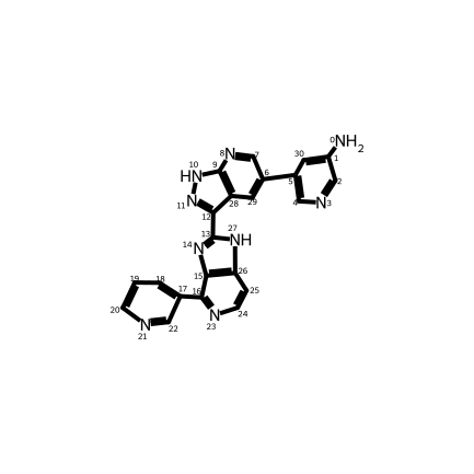 Nc1cncc(-c2cnc3[nH]nc(-c4nc5c(-c6cccnc6)nccc5[nH]4)c3c2)c1